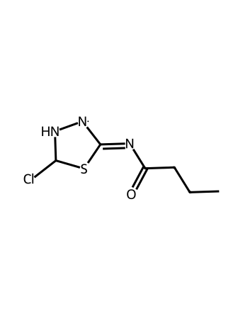 CCCC(=O)N=C1[N]NC(Cl)S1